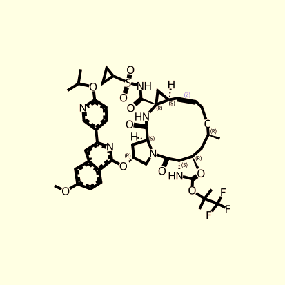 COc1ccc2c(O[C@@H]3C[C@H]4C(=O)N[C@]5(C(=O)NS(=O)(=O)C6CC6)C[C@H]5/C=C\CC[C@@H](C)C[C@@H](C)[C@H](NC(=O)OC(C)(C)C(F)(F)F)C(=O)N4C3)nc(-c3ccc(OC(C)C)nc3)cc2c1